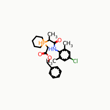 Cc1cc(Cl)cc(C)c1NC(=O)C(C)[PH]1(CC(=O)OCc2ccccc2)CCCCC1